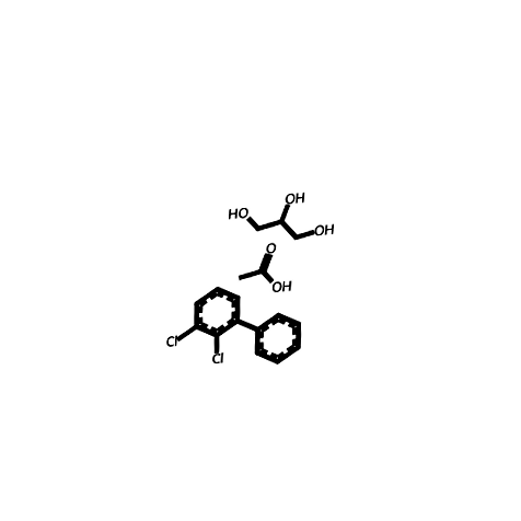 CC(=O)O.Clc1cccc(-c2ccccc2)c1Cl.OCC(O)CO